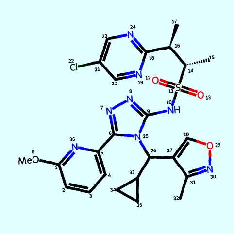 COc1cccc(-c2nnc(NS(=O)(=O)[C@@H](C)[C@H](C)c3ncc(Cl)cn3)n2C(c2conc2C)C2CC2)n1